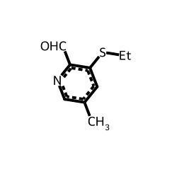 CCSc1cc(C)cnc1C=O